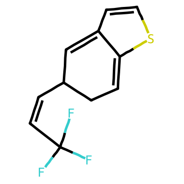 FC(F)(F)/C=C\C1C=c2ccsc2=CC1